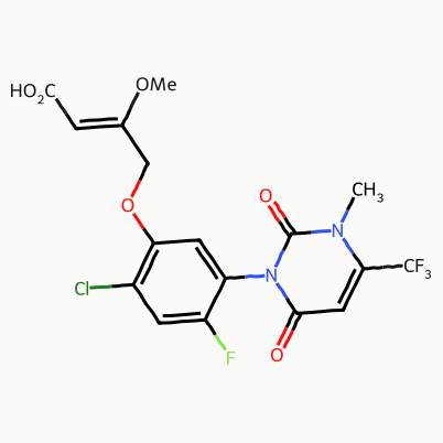 COC(=CC(=O)O)COc1cc(-n2c(=O)cc(C(F)(F)F)n(C)c2=O)c(F)cc1Cl